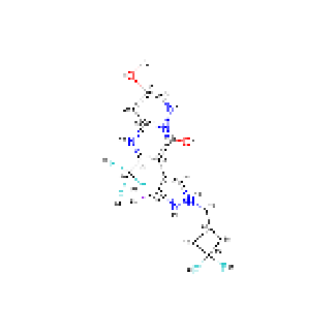 COc1cnn2c(=O)c(-c3cn(CC4CC(F)(F)C4)nc3I)c(C(F)(F)F)nc2c1